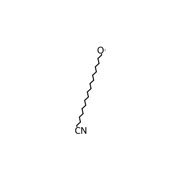 N#CCCCCCCCCCCCCCCCCCC[O]